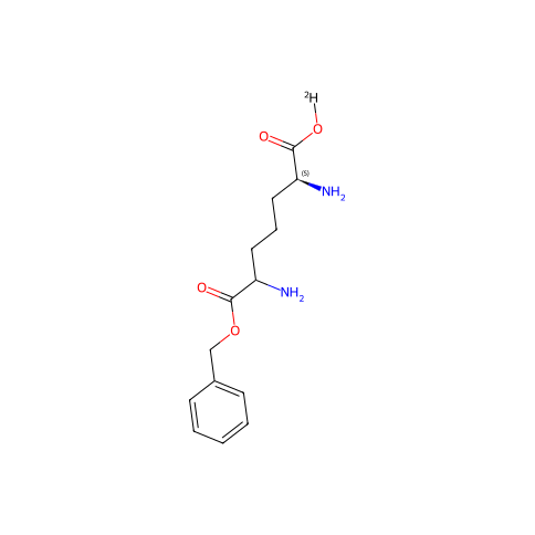 [2H]OC(=O)[C@@H](N)CCCC(N)C(=O)OCc1ccccc1